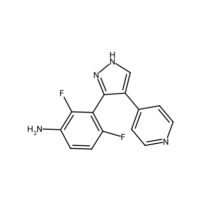 Nc1ccc(F)c(-c2n[nH]cc2-c2ccncc2)c1F